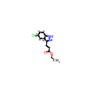 CCOC(=O)/C=C/c1n[nH]c2ccc(Cl)cc12